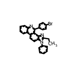 CCc1nc2c3c(-c4ccc(Br)cc4)nc4ccccc4c3ccc2n1-c1ccccc1